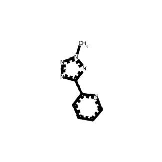 Cn1nnc(-c2cc[c]cn2)n1